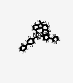 CC1(C)c2cccc(-c3nc(-c4ccc(-c5ccccc5)cc4)nc(-c4ccc(-c5cccnc5)cc4)n3)c2-c2c1ccc1ccccc21